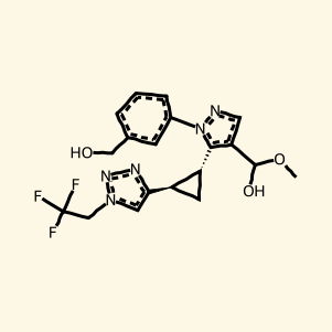 COC(O)c1cnn(-c2cccc(CO)c2)c1[C@@H]1C[C@H]1c1cn(CC(F)(F)F)nn1